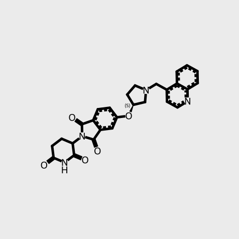 O=C1CCC(N2C(=O)c3ccc(O[C@H]4CCN(Cc5ccnc6ccccc56)C4)cc3C2=O)C(=O)N1